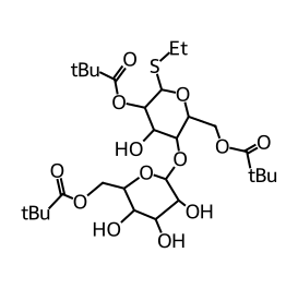 CCSC1OC(COC(=O)C(C)(C)C)C(OC2OC(COC(=O)C(C)(C)C)C(O)C(O)C2O)C(O)C1OC(=O)C(C)(C)C